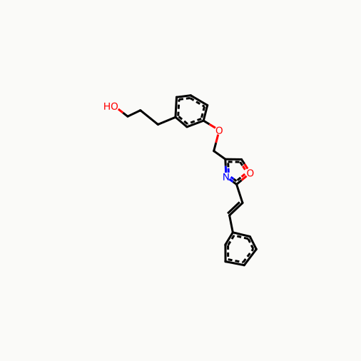 OCCCc1cccc(OCc2coc(C=Cc3ccccc3)n2)c1